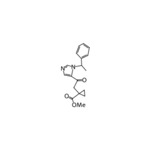 COC(=O)C1(CC(=O)c2cncn2C(C)c2ccccc2)CC1